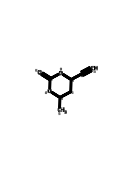 C#CC1CC(C)OC(=O)O1